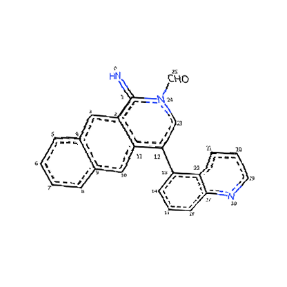 N=c1c2cc3ccccc3cc2c(-c2cccc3ncccc23)cn1C=O